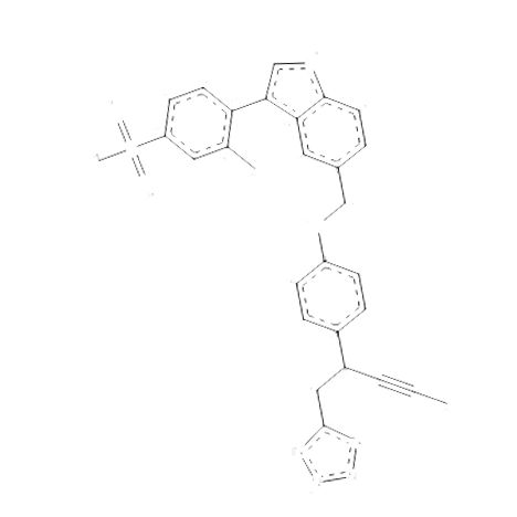 CC#CC(Cc1nnn[nH]1)c1ccc(OCc2ccc3scc(-c4ccc(S(C)(=O)=O)cc4C)c3c2)cc1